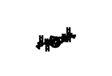 c1cc2c(-c3ccc4[nH]c([C@@H]5CC6(CC6)CN5)nc4c3)cc1CCc1ccc(cc1-c1ccc3nc(C4CC5(CC5)CN4)[nH]c3c1)CC2